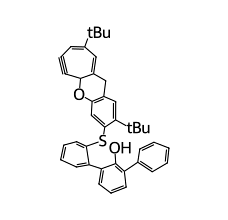 CC(C)(C)C1=CC#CC2Oc3cc(Sc4ccccc4-c4cccc(-c5ccccc5)c4O)c(C(C)(C)C)cc3CC2=C1